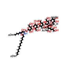 CCCCCCCCCCCCC/C=C/[C@@H](O)[C@H](CO[C@@H]1OC(CO)[C@@H](O[C@@H]2OC(CO)[C@H](O[C@@H]3OC(CO)[C@H](O)[C@H](O[C@@H]4OC(CO)[C@H](O[C@@H]5OC(CO)[C@H](O)[C@H](O)C5NC(C)=O)[C@H](O[C@]5(C(=O)O)CC(O)[C@@H](NC(C)=O)C([C@H](O)[C@H](O)CO)O5)C4O)C3NC(C)=O)[C@H](O)C2O)[C@H](O)C1O)NC(=O)CCCCCCCCCCCCCCCCCCCCCCC